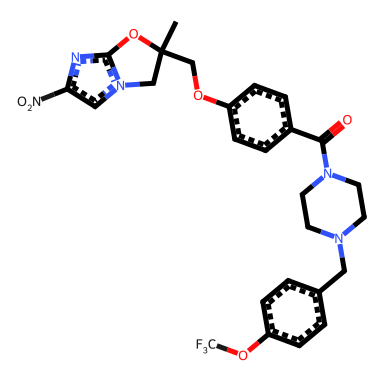 CC1(COc2ccc(C(=O)N3CCN(Cc4ccc(OC(F)(F)F)cc4)CC3)cc2)Cn2cc([N+](=O)[O-])nc2O1